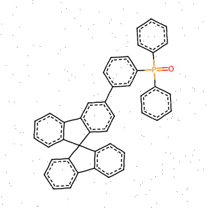 O=P(c1ccccc1)(c1ccccc1)c1cccc(-c2ccc3c(c2)-c2ccccc2C32c3ccccc3-c3ccccc32)c1